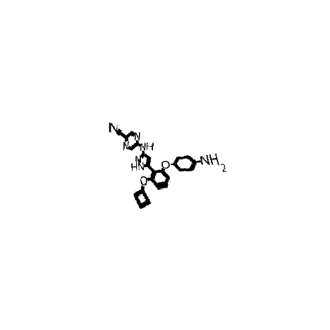 N#Cc1cnc(Nc2cc(-c3c(OC4CCC4)cccc3O[C@H]3CC[C@H](N)CC3)[nH]n2)cn1